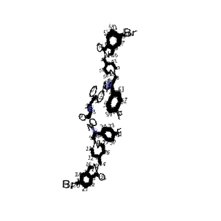 O=C(/C=C/C(=O)O/N=C(/CN1CCC(CN2Cc3cc(Br)ccc3C2=O)CC1)c1ccc(F)cc1)O/N=C(/CN1CCC(CN2Cc3cc(Br)ccc3C2=O)CC1)c1ccc(F)cc1